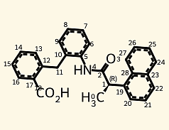 C[C@@H](C(=O)Nc1ccccc1Cc1ccccc1C(=O)O)c1cccc2ccccc12